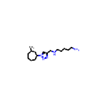 CC1CCCCC(n2cc(CNCCCCCN)nn2)C1